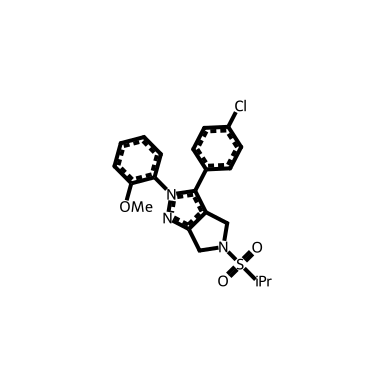 COc1ccccc1-n1nc2c(c1-c1ccc(Cl)cc1)CN(S(=O)(=O)C(C)C)C2